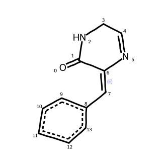 O=C1NCC=N/C1=C/c1ccccc1